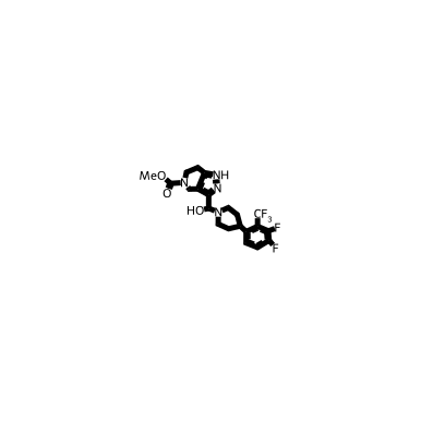 COC(=O)N1CCc2[nH]nc(C(O)N3CCC(c4ccc(F)c(F)c4C(F)(F)F)CC3)c2C1